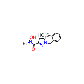 CCN(O)C(=O)C1=NN(Cc2ccccc2S(=O)(=O)O)CC1